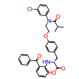 CC(C)C(=O)N(CCOc1ccc(C[C@H](Nc2ccccc2C(=O)c2ccccc2)C(=O)O)cc1)c1cccc(Cl)c1